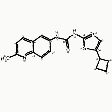 Cc1ccc2cc(NC(=O)Nc3ncc(C4CCC4)s3)ccc2n1